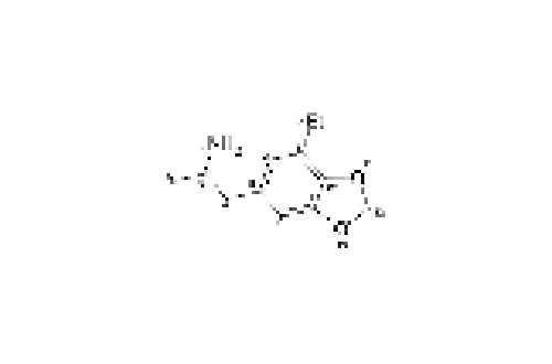 CCc1cc(CC(C)N)cc2c1OCO2